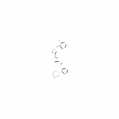 NC1CCCN(c2c(F)cccc2NC(=O)c2csc(-c3cnn(Cc4c(F)cccc4CO)c3)n2)C1